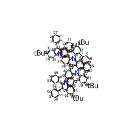 CC(C)(C)c1cc(-c2ccccc2)c(N2c3cc(-n4c(-c5ccccc5)c(-c5ccccc5)c5cc(C(C)(C)C)ccc54)ccc3B3c4ccc(-n5c(-c6ccccc6)c(-c6ccccc6)c6cc(C(C)(C)C)ccc65)cc4N(c4c(-c5ccccc5)cc(C(C)(C)C)cc4-c4ccccc4)c4cccc2c43)c(-c2ccccc2)c1